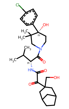 CC(C)[C@@H](NC(=O)C(=O)C1(CO)CC2CCC(C2)C1)C(=O)N1CC[C@](O)(c2ccc(Cl)cc2)C(C)(C)C1